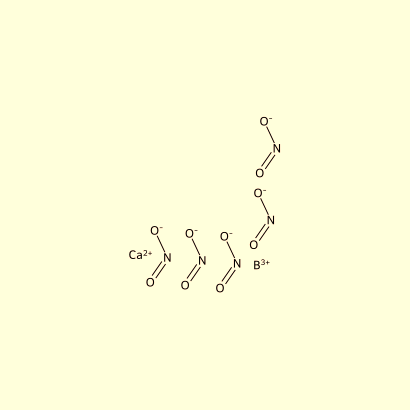 O=N[O-].O=N[O-].O=N[O-].O=N[O-].O=N[O-].[B+3].[Ca+2]